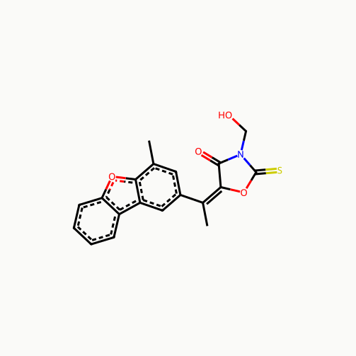 C/C(=C1\OC(=S)N(CO)C1=O)c1cc(C)c2oc3ccccc3c2c1